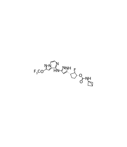 O=C(NC12CC(C1)C2)O[C@@H]1CC[C@H](c2cc(Nc3nccn4nc(OC(F)(F)F)cc34)n[nH]2)[C@H]1F